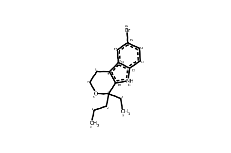 CCCC1(CC)OCCc2c1[nH]c1ccc(Br)cc21